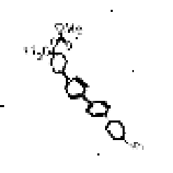 CCC[C@H]1CC[C@H](c2ccc(-c3ccc(C4CCC(C)(OC(=O)OC)CC4)cc3)cc2)CC1